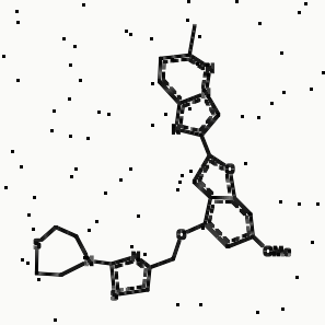 COc1cc(OCc2csc(N3CCSCC3)n2)c2cc(-c3cn4nc(C)ccc4n3)oc2c1